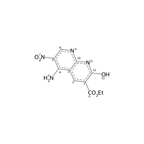 CCOC(=O)c1cc2c(N)c([N+](=O)[O-])cnc2nc1O